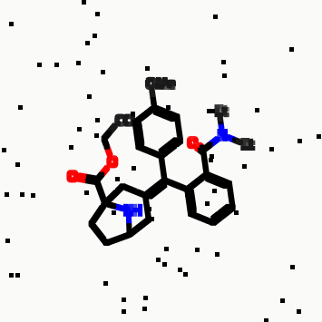 CCN(CC)C(=O)c1ccccc1C(=C1CC2CCC(C(=O)OCC(Cl)(Cl)Cl)(C1)N2)c1ccc(OC)cc1